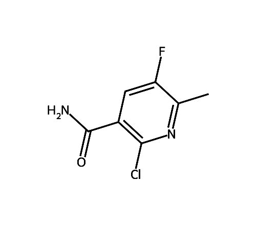 Cc1nc(Cl)c(C(N)=O)cc1F